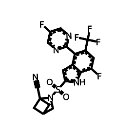 N#CC12CC(CN1S(=O)(=O)c1cc3c(-c4ncc(F)cn4)c(C(F)(F)F)cc(F)c3[nH]1)C2